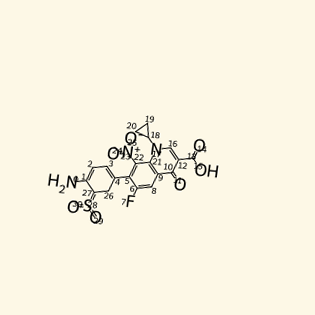 NC1=CC=C(c2c(F)cc3c(=O)c(C(=O)O)cn(C4CC4)c3c2[N+](=O)[O-])CC1=S(=O)=O